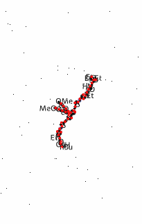 CCCCNC(=O)OCCN(CC)c1ccc(/C=C/c2ccc(C#Cc3ccc4c(c3)C(CCOCCOCCOC)(CCOCCOCCOC)c3cc(C#Cc5ccc(/C=C/c6ccc(N(CC)CCOC(=O)NCCC[Si](OCC)(OCC)OCC)cc6)s5)ccc3-4)s2)cc1